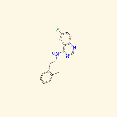 Cc1ccccc1CCNc1ncnc2ccc(F)cc12